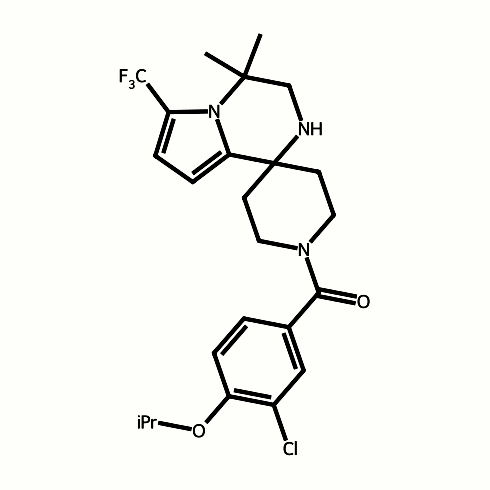 CC(C)Oc1ccc(C(=O)N2CCC3(CC2)NCC(C)(C)n2c(C(F)(F)F)ccc23)cc1Cl